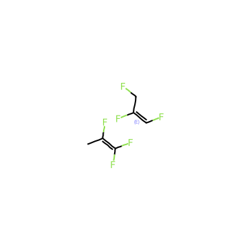 CC(F)=C(F)F.F/C=C(/F)CF